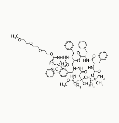 COCCOCCOCCOC(=O)N[C@H](C(=O)N[C@@H](Cc1ccccc1)[C@H](CN(Cc1ccc(-c2ccccn2)cc1)NC(=O)[C@@H](NC(=O)OC)C(C)(C)C)OC(=O)[C@H](Cc1ccccc1)NC(=O)[C@H](Cc1ccccc1)NC(=O)OC(C)(C)C)C(C)(C)C